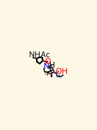 C=C1/C(=C(O)\C=C/C)C[C@H]2N(C(=O)c3ccc(CNC(C)=O)cc3)CC[C@]1(C)C2(C)C